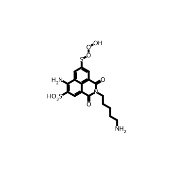 NCCCCCN1C(=O)c2cc(SOOO)cc3c(N)c(S(=O)(=O)O)cc(c23)C1=O